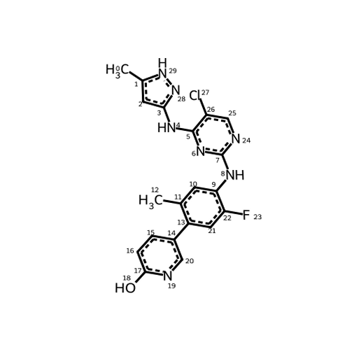 Cc1cc(Nc2nc(Nc3cc(C)c(-c4ccc(O)nc4)cc3F)ncc2Cl)n[nH]1